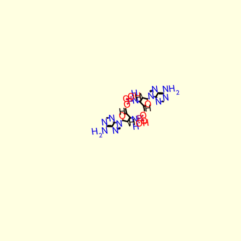 C[C@@H]1[C@@H]2NP(=O)(O)OC[C@H]3O[C@@H](n4cnc5c(N)ncnc54)[C@H](C)[C@@H]3NP(=O)(O)OC[C@H]2O[C@H]1n1cnc2c(N)ncnc21